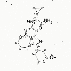 NC(=O)[C@@H](Nc1cc2c3c(c1)nc(C1CCCC(O)C1)n3CCCO2)C1CC1